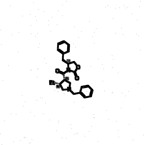 CC[C@H]1CN(Cc2ccccc2)C[C@H]1C(=O)N1C(=O)OC[C@@H]1Cc1ccccc1